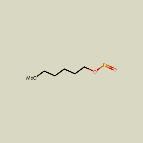 COCCCCCOP=O